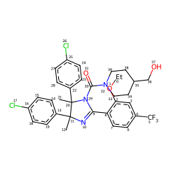 CCOc1cc(C(F)(F)F)ccc1C1=NC(C)(c2ccc(Cl)cc2)C(C)(c2ccc(Cl)cc2)N1C(=O)N1CCC(CO)CC1